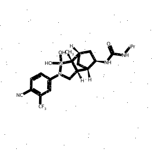 CC(C)NC(=O)N[C@@H]1C[C@@H]2C[C@H]1[C@@H]1CN(c3ccc(C#N)c(C(F)(F)F)c3)S(O)(O)[C@]21C